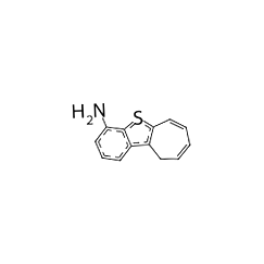 Nc1cccc2c3c(sc12)C=CC=CC3